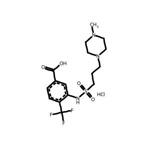 CN1CCN(CCCS(=O)(=O)Nc2cc(C(=O)O)ccc2C(F)(F)F)CC1.Cl